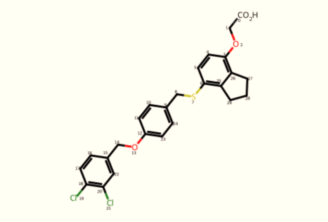 O=C(O)COc1ccc(SCc2ccc(OCc3ccc(Cl)c(Cl)c3)cc2)c2c1CCC2